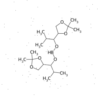 CC(C)C(OBOC(C(C)C)C1COC(C)(C)O1)C1COC(C)(C)O1